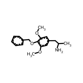 COc1cc(CC(C)N)cc(OC)c1OCc1ccccc1